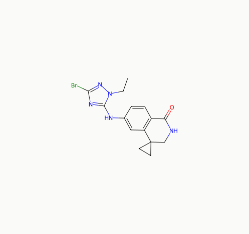 CCn1nc(Br)nc1Nc1ccc2c(c1)C1(CC1)CNC2=O